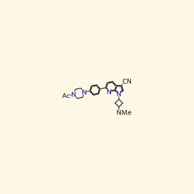 CNC1CC(n2cc(C#N)c3ccc(-c4ccc(N5CCN(C(C)=O)CC5)cc4)nc32)C1